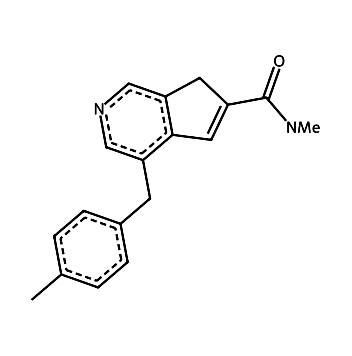 CNC(=O)C1=Cc2c(cncc2Cc2ccc(C)cc2)C1